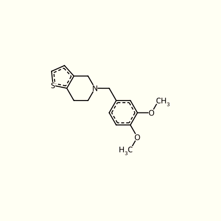 COc1ccc(CN2CCc3sccc3C2)cc1OC